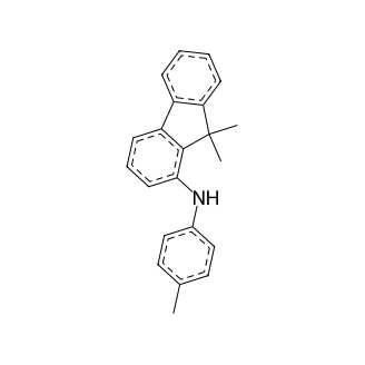 Cc1ccc(Nc2cccc3c2C(C)(C)c2ccccc2-3)cc1